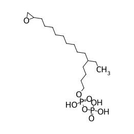 CCC(CCCCCCCCCC1CO1)CCCCOP(=O)(O)OP(=O)(O)O